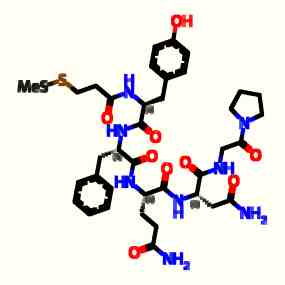 CSSCCC(=O)N[C@@H](Cc1ccc(O)cc1)C(=O)N[C@@H](Cc1ccccc1)C(=O)N[C@@H](CCC(N)=O)C(=O)N[C@@H](CC(N)=O)C(=O)NCC(=O)N1CCCC1